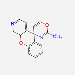 NC1=NC2(C=CO1)C1=CC=NCC1Oc1ccccc12